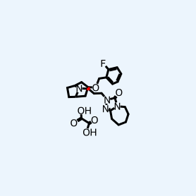 O=C(O)C(=O)O.O=c1n(CCCN2C3CCC2CC(OCc2ccccc2F)C3)nc2n1CCCCC2